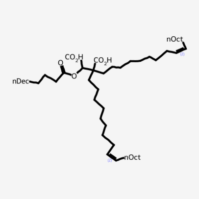 CCCCCCCC/C=C\CCCCCCCCC(CCCCCCCC/C=C\CCCCCCCC)(C(=O)O)C(OC(=O)CCCCCCCCCCCCC)C(=O)O